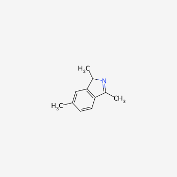 CC1=NC(C)c2cc(C)ccc21